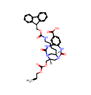 C=CCOC(=O)OC[C@H]1CN2C(=O)Nc3ccc(C(=O)O)cc3NC(=O)N1C[C@H]2CCCCNC(=O)OCC1c2ccccc2-c2ccccc21